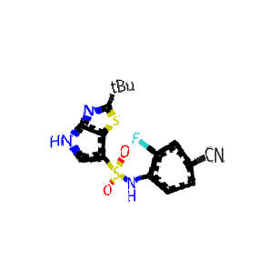 CC(C)(C)c1nc2[nH]cc(S(=O)(=O)Nc3ccc(C#N)cc3F)c2s1